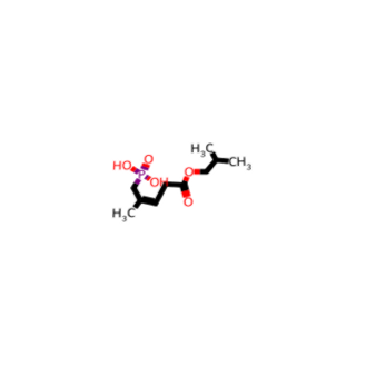 CC(=CCC(=O)OCC(C)C)CP(=O)(O)O